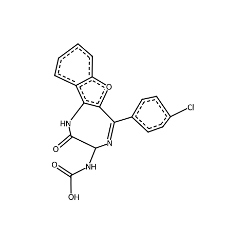 O=C(O)NC1N=C(c2ccc(Cl)cc2)c2oc3ccccc3c2NC1=O